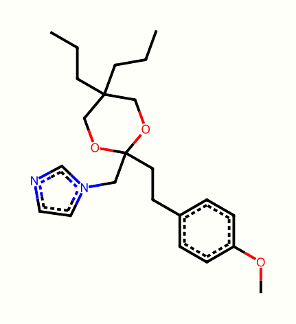 CCCC1(CCC)COC(CCc2ccc(OC)cc2)(Cn2ccnc2)OC1